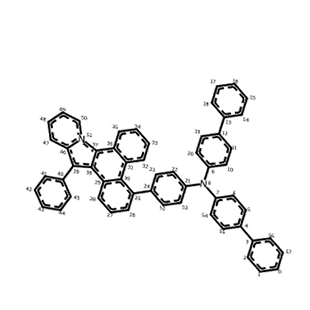 c1ccc(-c2ccc(N(c3ccc(-c4ccccc4)cc3)c3ccc(-c4cccc5c4c4ccccc4c4c5c(-c5ccccc5)c5ccccn54)cc3)cc2)cc1